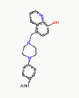 CC(=O)Nc1ccc(N2CCN(Cc3ccc(O)c4ncccc34)CC2)cc1